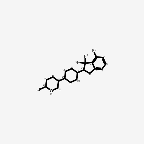 Fc1cccc2c1C(F)(F)C(C1CCC(C3CCC(I)OC3)CC1)C2